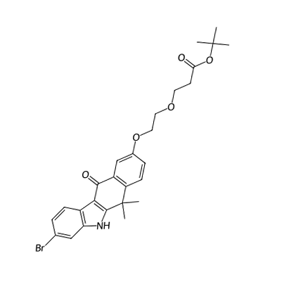 CC(C)(C)OC(=O)CCOCCOc1ccc2c(c1)C(=O)c1c([nH]c3cc(Br)ccc13)C2(C)C